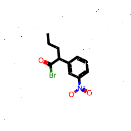 CCCC(C(=O)Br)c1cccc([N+](=O)[O-])c1